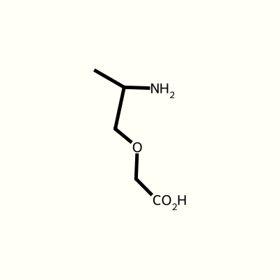 CC(N)COCC(=O)O